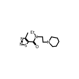 CCN(CCN1CCCCC1)C(=O)c1snnc1C